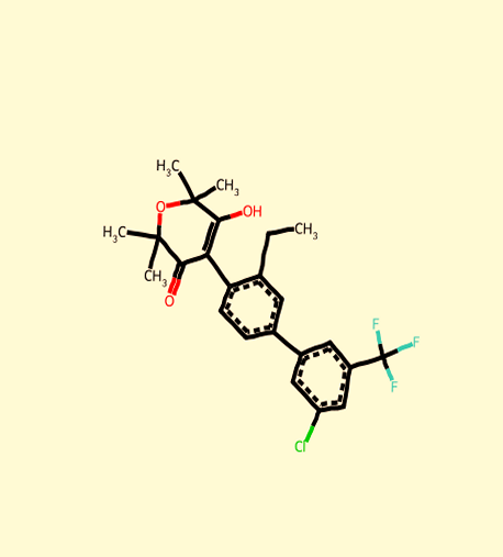 CCc1cc(-c2cc(Cl)cc(C(F)(F)F)c2)ccc1C1=C(O)C(C)(C)OC(C)(C)C1=O